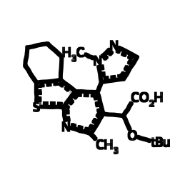 Cc1nc2sc3c(c2c(-c2ccnn2C)c1C(OC(C)(C)C)C(=O)O)CCCC3